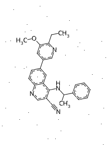 CCc1ncc(-c2ccc3ncc(C#N)c(NC(C)c4ccccc4)c3c2)cc1OC